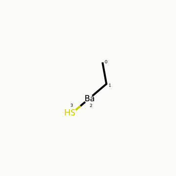 C[CH2][Ba][SH]